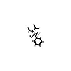 C[CH]N(C(C)C)S(=O)(=O)c1ccccc1